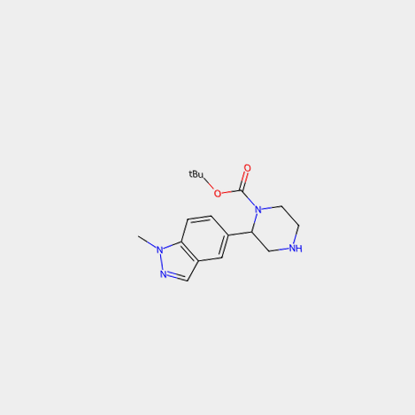 Cn1ncc2cc(C3CNCCN3C(=O)OC(C)(C)C)ccc21